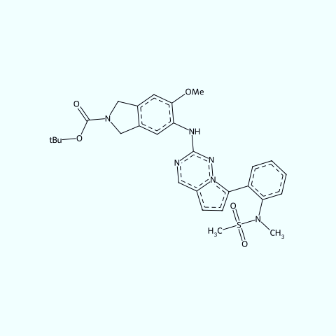 COc1cc2c(cc1Nc1ncc3ccc(-c4ccccc4N(C)S(C)(=O)=O)n3n1)CN(C(=O)OC(C)(C)C)C2